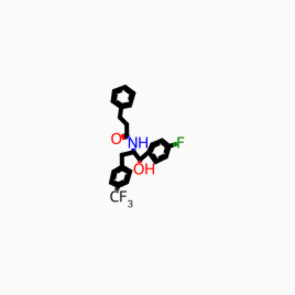 O=C(CCc1ccccc1)NC(Cc1ccc(C(F)(F)F)cc1)C(O)c1ccc(F)cc1